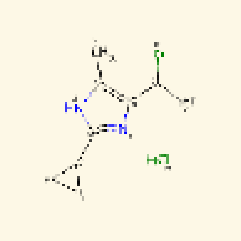 Cc1[nH]c(C2CC2)nc1C(Cl)C(C)C.Cl